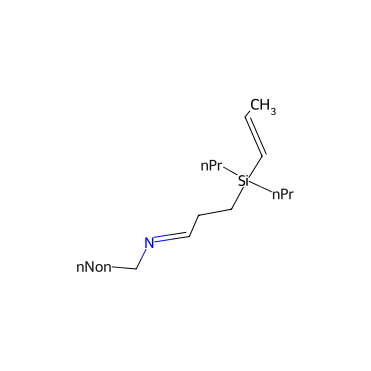 CC=C[Si](CCC)(CCC)CCC=NCCCCCCCCCC